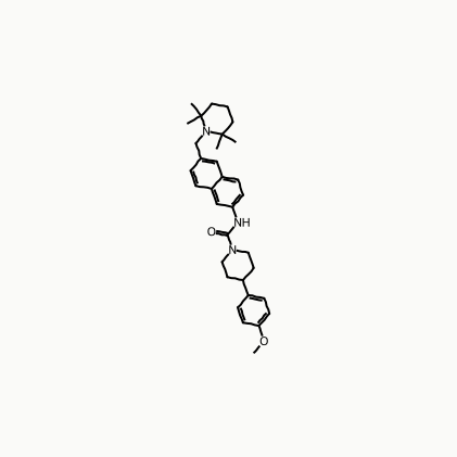 COc1ccc(C2CCN(C(=O)Nc3ccc4cc(CN5C(C)(C)CCCC5(C)C)ccc4c3)CC2)cc1